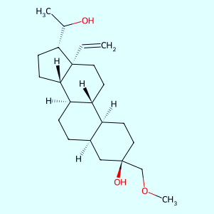 C=C[C@]12CC[C@H]3[C@@H](CC[C@@H]4C[C@@](O)(COC)CC[C@@H]43)[C@@H]1CC[C@@H]2C(C)O